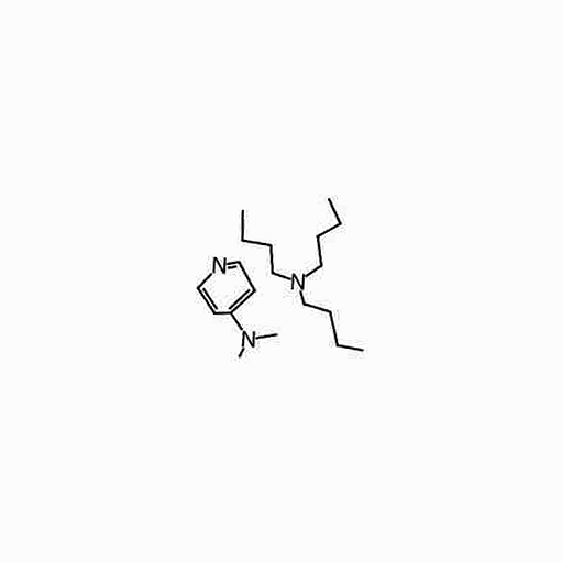 CCCCN(CCCC)CCCC.CN(C)c1ccncc1